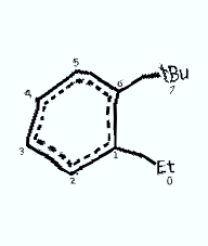 CCc1[c]cccc1C(C)(C)C